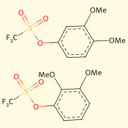 COc1ccc(OS(=O)(=O)C(F)(F)F)cc1OC.COc1cccc(OS(=O)(=O)C(F)(F)F)c1OC